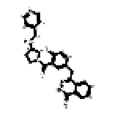 O=C(c1cc(Cc2n[nH]c(=O)c3ccccc23)ccc1F)N1CCC(NCc2ccncc2)C1